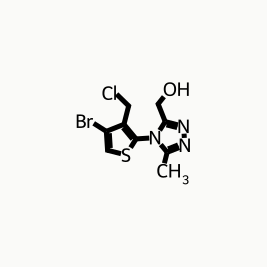 Cc1nnc(CO)n1-c1scc(Br)c1CCl